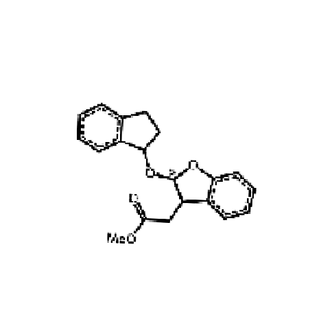 COC(=O)CC1c2ccccc2O[C@@H]1OC1CCc2ccccc21